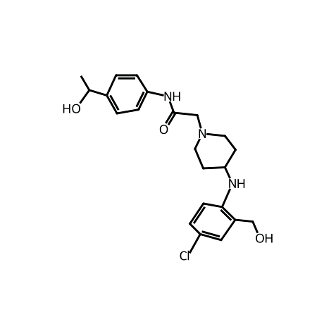 CC(O)c1ccc(NC(=O)CN2CCC(Nc3ccc(Cl)cc3CO)CC2)cc1